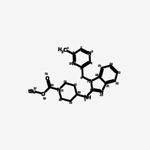 Cc1cncc(Cn2c(NC3CCN(C(=O)OC(C)(C)C)CC3)nc3ccccc32)n1